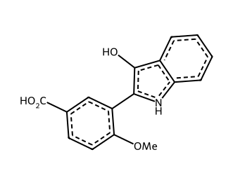 COc1ccc(C(=O)O)cc1-c1[nH]c2ccccc2c1O